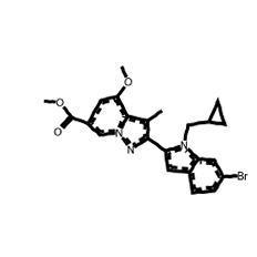 COC(=O)c1cc(OC)c2c(C)c(-c3cc4ccc(Br)cc4n3CC3CC3)nn2c1